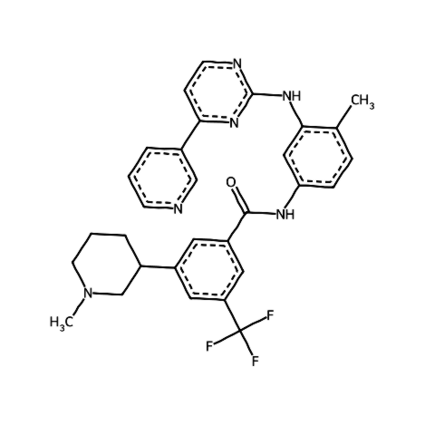 Cc1ccc(NC(=O)c2cc(C3CCCN(C)C3)cc(C(F)(F)F)c2)cc1Nc1nccc(-c2cccnc2)n1